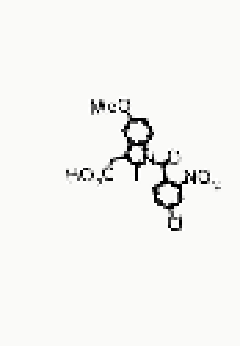 COc1ccc2c(c1)c(CC(=O)O)c(C)n2C(=O)c1ccc(Cl)cc1[N+](=O)[O-]